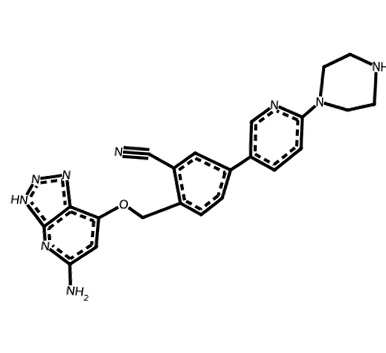 N#Cc1cc(-c2ccc(N3CCNCC3)nc2)ccc1COc1cc(N)nc2[nH]nnc12